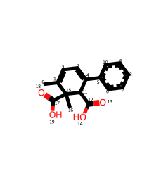 CC1=CC=C(c2ccccc2)C(C(=O)O)C1(C)C(=O)O